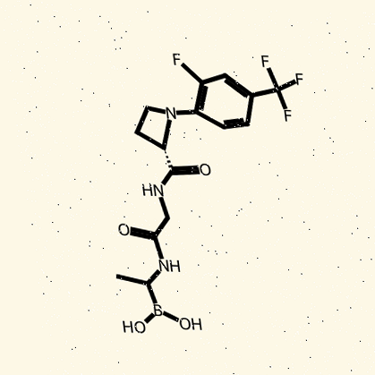 CC(NC(=O)CNC(=O)[C@@H]1CCN1c1ccc(C(F)(F)F)cc1F)B(O)O